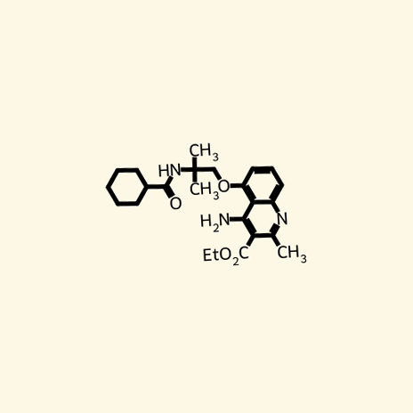 CCOC(=O)c1c(C)nc2cccc(OCC(C)(C)NC(=O)C3CCCCC3)c2c1N